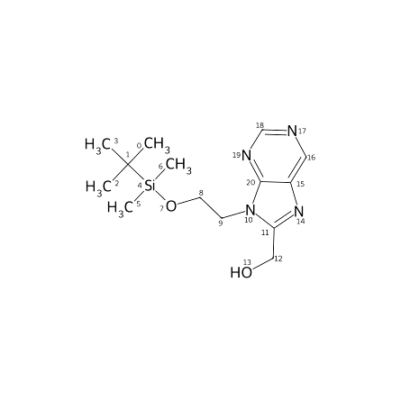 CC(C)(C)[Si](C)(C)OCCn1c(CO)nc2cncnc21